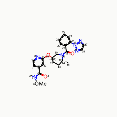 CON(C)C(=O)c1ccnc(O[C@@H]2CC[C@@H](C)N(C(=O)c3ccccc3-n3nccn3)C2)c1